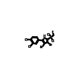 FCS(Cl)(Cl)c1[nH]c(-c2ccc(Cl)c(Cl)c2)c(Br)c1Br